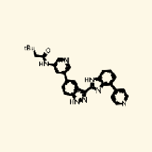 CC(C)(C)CC(=O)Nc1cncc(-c2ccc3[nH]nc(-c4nc5c(-c6ccncc6)cccc5[nH]4)c3c2)c1